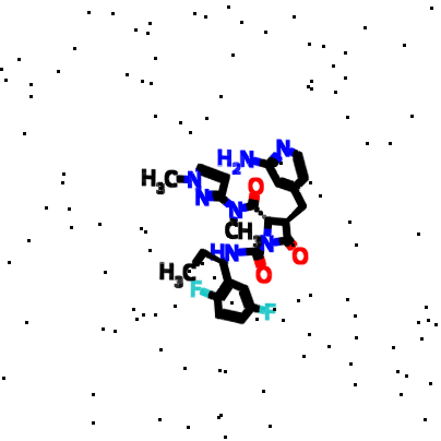 CC[C@@H](NC(=O)N1C(=O)[C@H](Cc2ccnc(N)c2)[C@H]1C(=O)N(C)c1ccn(C)n1)c1cc(F)ccc1F